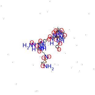 CC[C@H](C)[C@@H]([C@@H](CC(=O)N1C[C@@H](NC(=O)OCc2ccc(NC(=O)[C@H](CCCNC(N)=O)NC(=O)[C@@H](NC(=O)CCCCCN3C(=O)CC(SCC4(CC(N)=O)CC4)C3=O)C(C)C)cc2)C[C@H]1[C@H](OC)[C@@H](C)C(=O)NCC(=O)c1cccc(OC)c1)OC)N(C)C(=O)[C@@H](NC(=O)[C@H](C(C)C)N(C)C)C(C)C